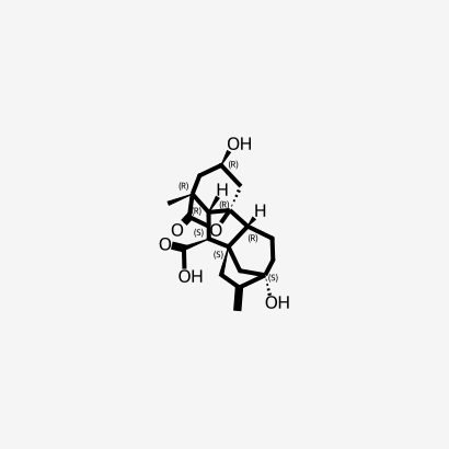 C=C1C[C@]23C[C@@]1(O)CC[C@H]2[C@@]12C[C@H](O)C[C@@](C)(C(=O)O1)[C@H]2[C@@H]3C(=O)O